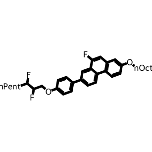 CCCCCCCCOc1ccc2c(c1)cc(F)c1cc(-c3ccc(OCC(F)C(F)CCCCC)cc3)ccc12